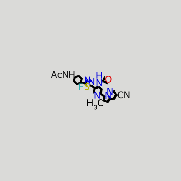 CC(=O)NC1CCC(F)(c2nnc(-c3cnc(C4C(C)C=C5C=C(C#N)C=NN54)cc3NC3COC3)s2)CC1